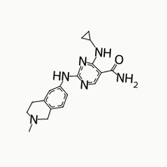 CN1CCc2cc(Nc3ncc(C(N)=O)c(NC4CC4)n3)ccc2C1